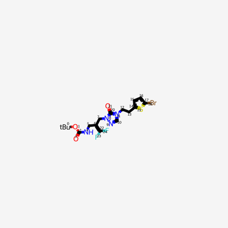 CC(C)(C)OC(=O)NCC(Cn1ncn(CCc2ccc(Br)s2)c1=O)=C(F)F